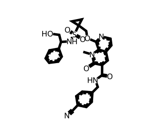 Cn1c(=O)c(C(=O)NCc2ccc(C#N)cc2)cc2ccnc(OCC3(S(=O)(=O)NC(CO)c4ccccc4)CC3)c21